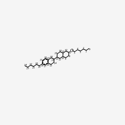 CCCCCCOC1CCC2CC(C3CCc4cc(CCCCCC)ccc4C3)CCC2C1